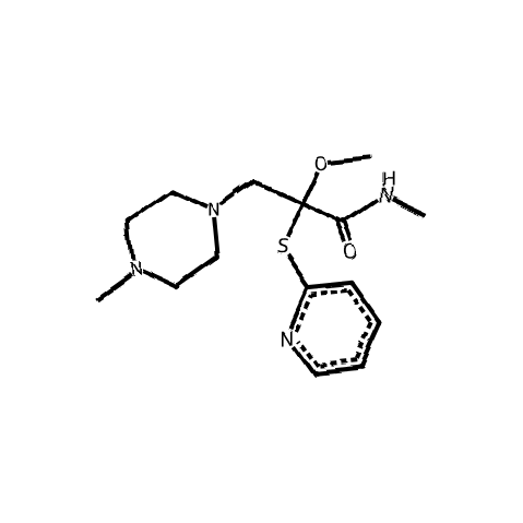 CNC(=O)C(CN1CCN(C)CC1)(OC)Sc1ccccn1